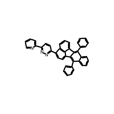 c1ccc(-c2c3c(c(-c4ccccc4)c4ccccc24)-c2ccc(-c4ccc(-c5ccccn5)nn4)c4cccc-3c24)cc1